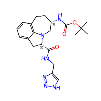 CC(C)(C)OC(=O)N[C@H]1CCc2cccc3c2N(C1)[C@H](C(=O)NCc1c[nH]nn1)C3